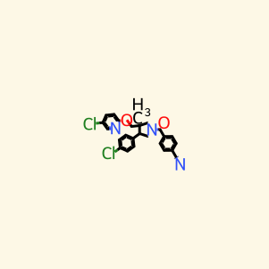 CC1(COc2ccc(Cl)cn2)CN(C(=O)c2ccc(C#N)cc2)CC1c1ccc(Cl)cc1